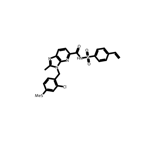 C=Cc1ccc(S(=O)(=O)NC(=O)c2ccc3nc(C)n(Cc4ccc(SC)cc4Cl)c3n2)cc1